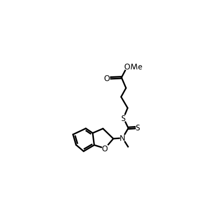 COC(=O)CCCSC(=S)N(C)C1Cc2ccccc2O1